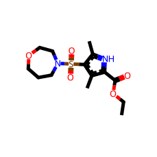 CCOC(=O)c1[nH]c(C)c(S(=O)(=O)N2CCCOCC2)c1C